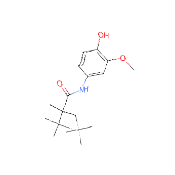 COc1cc(NC(=O)C(C)(CC(C)(C)C)C(C)(C)C)ccc1O